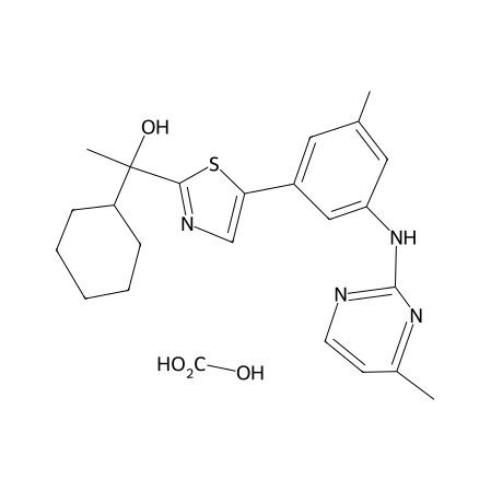 Cc1cc(Nc2nccc(C)n2)cc(-c2cnc(C(C)(O)C3CCCCC3)s2)c1.O=C(O)O